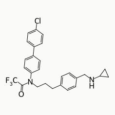 O=C(N(CCCc1ccc(CNC2CC2)cc1)c1ccc(-c2ccc(Cl)cc2)cc1)C(F)(F)F